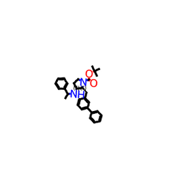 CC(N[C@H]1CCN(C(=O)OC(C)(C)C)[C@H]1Cc1cccc(-c2ccccc2)c1)c1ccccc1